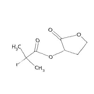 CC(C)(I)C(=O)OC1CCOC1=O